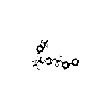 CC(=O)NC(COc1ccc2sc(C)nc2c1)CN1CCN(CC(=O)Nc2cccc(-c3ccccc3)c2)CC1